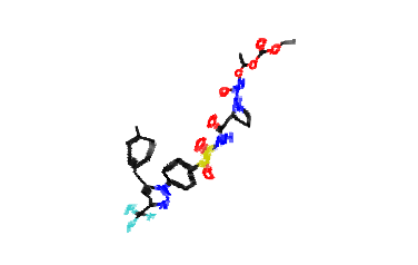 CCOC(=O)OC(C)O/N=[N+](\[O-])N1CC[C@H]1C(=O)NS(=O)(=O)c1ccc(-n2nc(C(F)(F)F)cc2-c2ccc(C)cc2)cc1